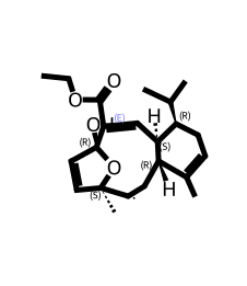 CCOC(=O)/C1=C/[C@H]2[C@@H](C(C)C)CC=C(C)[C@@H]2C[C][C@@]2(C)C=C[C@@]1(O)O2